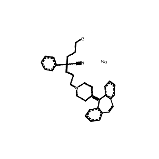 Cl.N#CC(CCCCl)(CCCN1CCC(=C2c3ccccc3C=Cc3ccccc32)CC1)c1ccccc1